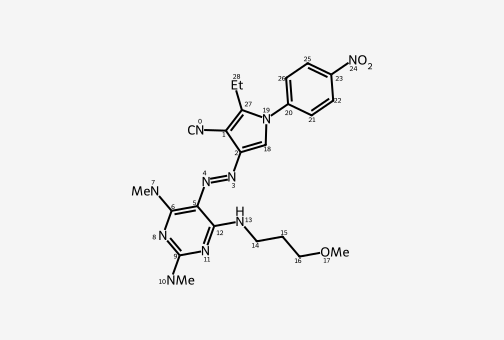 [C-]#[N+]c1c(N=Nc2c(NC)nc(NC)nc2NCCCOC)cn(-c2ccc([N+](=O)[O-])cc2)c1CC